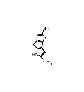 Cc1cc2c([nH]1)Cc1cc(C(C)C)sc1-2